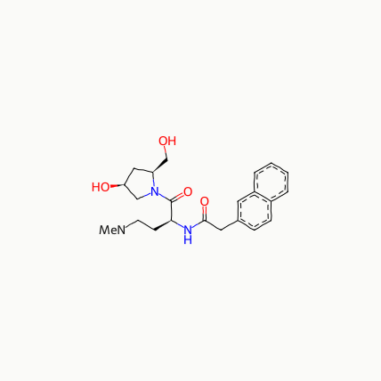 CNCC[C@H](NC(=O)Cc1ccc2ccccc2c1)C(=O)N1C[C@@H](O)C[C@H]1CO